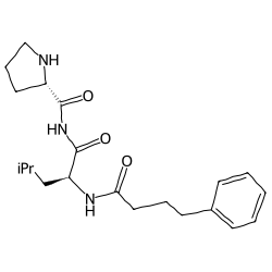 CC(C)C[C@H](NC(=O)CCCc1ccccc1)C(=O)NC(=O)[C@@H]1CCCN1